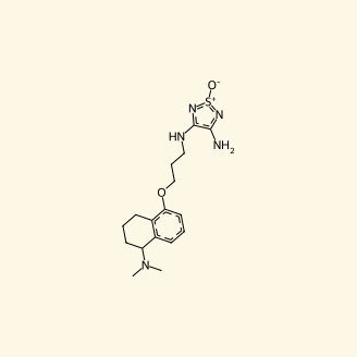 CN(C)C1CCCc2c(OCCCNc3n[s+]([O-])nc3N)cccc21